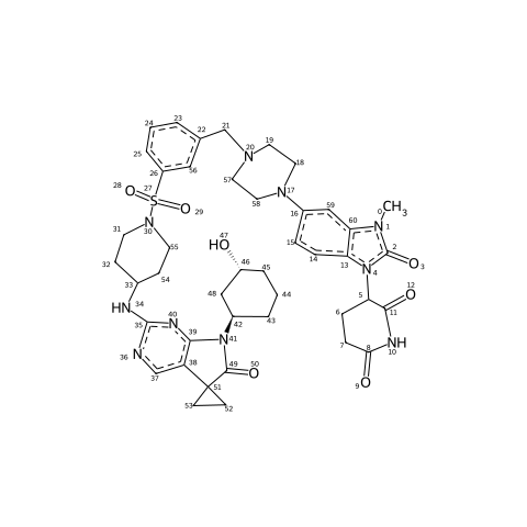 Cn1c(=O)n(C2CCC(=O)NC2=O)c2ccc(N3CCN(Cc4cccc(S(=O)(=O)N5CCC(Nc6ncc7c(n6)N([C@@H]6CCC[C@@H](O)C6)C(=O)C76CC6)CC5)c4)CC3)cc21